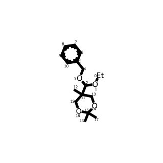 CCOC(OCc1ccccc1)C1(C)COC(C)(C)OC1